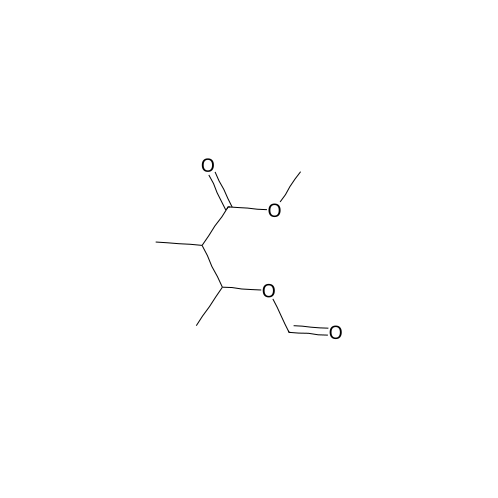 COC(=O)C(C)C(C)OC=O